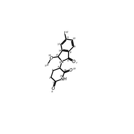 O=C1CCC(N2C(=O)c3ccc(I)cc3C2OI)C(=O)N1